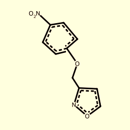 O=[N+]([O-])c1ccc(OCc2ccon2)cc1